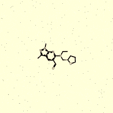 CCN(C[C@H]1CCCO1)c1nc2c(cc1C=O)c(C)nn2C